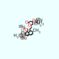 C[C@H]1C=CC2=C[C@@H](O[Si](C)(C)C(C)(C)C)C[C@@H](OC(=O)C(C)(C)C)[C@@H]2[C@H]1CC[C@@H]1C[C@@H](O[Si](C)(C)C(C)(C)C)CC(=O)O1